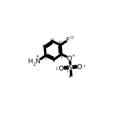 CS(=O)(=O)Oc1cc(N)ccc1F